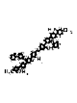 Cc1ccc(-c2ccc3c4ccc(-c5ccc(CCc6ccc(-c7ccc8c9ccc(-c%10ccc(C)cc%10C)cc9n(-c9cccc(-c%10ccccc%10)c9)c8c7)c(C)c6)cc5C)cc4n(-c4ccccc4)c3c2)c(C)c1